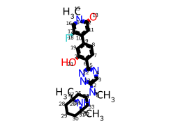 CN(c1cnc(-c2ccc(-c3cc(=O)n(C)cc3F)cc2O)nn1)[C@H]1C[C@]2(C)CCC[C@](C)(C1)N2